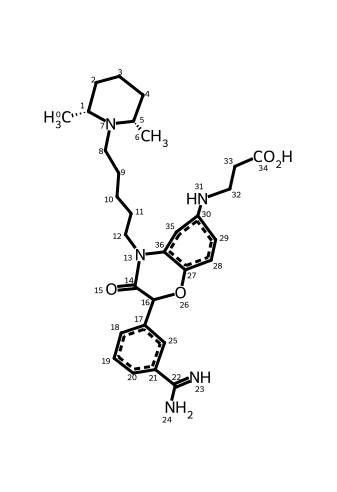 C[C@@H]1CCC[C@H](C)N1CCCCCN1C(=O)C(c2cccc(C(=N)N)c2)Oc2ccc(NCCC(=O)O)cc21